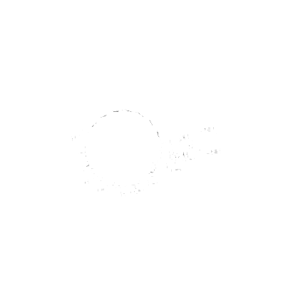 C[C@@H]1[C@H](O)[C@@H](C)/C=C/C=C/C=C/C=C/C=C/C=C/C=C/[C@H](O[C@@H]2O[C@H](C)[C@@H](O)[C@H](N(CCCN)CCCN)[C@@H]2O)CC2O[C@](O)(C[C@@H](O)C[C@@H](O)[C@H](O)CC[C@@H](O)C[C@@H](O)CC(=O)O[C@H]1C)C[C@H](O)[C@H]2C(=O)O